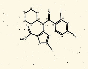 COC(=O)c1sc(I)cc1N(C(=O)c1ccc(Cl)cc1F)C1CCOCC1